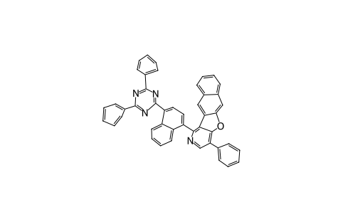 c1ccc(-c2nc(-c3ccccc3)nc(-c3ccc(-c4ncc(-c5ccccc5)c5oc6cc7ccccc7cc6c45)c4ccccc34)n2)cc1